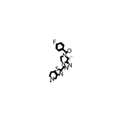 C[C@@H]1c2nnc(-c3nc4c(s3)CCN(C)C4)n2CCN1C(=O)c1ccc(F)cc1